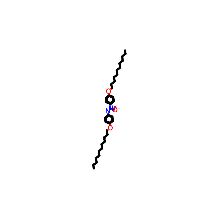 CCCCCCCCCCCCOc1ccc(N=[N+]([O-])c2ccc(OCCCCCCCCCCCC)cc2)cc1